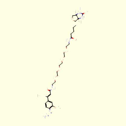 C/C(=C\C(=O)NCCOCCOCCOCCOCCNC(=O)CCCC[C@@H]1SC[C@@H]2NC(=O)N[C@@H]21)c1ccc(N=[N+]=[N-])c(C#N)c1